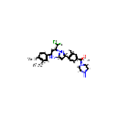 COc1ccc(C2CC(C(F)F)n3nc(-c4ccc(C(=O)N5CCNC[C@H]5C)cc4C)cc3N2)cc1OC